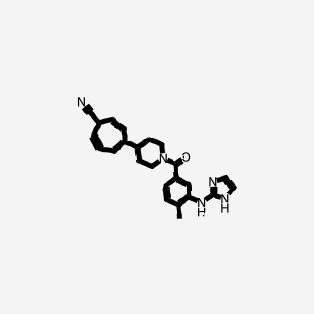 Cc1ccc(C(=O)N2CCC(C3=CC#CC(C#N)C=C3)CC2)cc1Nc1ncc[nH]1